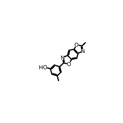 Cc1cc(O)cc(-c2nc3cc4oc(C)nc4cc3o2)c1